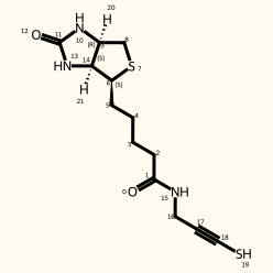 O=C(CCCC[C@@H]1SC[C@@H]2NC(=O)N[C@@H]21)NCC#CS